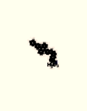 C/C=C\c1c(C)oc2cc3c4c(ccc3cc12)Cc1cc(-c2c3ccccc3c(-c3ccc(-c5ccccc5)cc3)c3ccccc23)ccc1-4